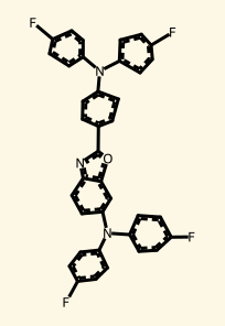 Fc1ccc(N(c2ccc(F)cc2)c2ccc(-c3nc4ccc(N(c5ccc(F)cc5)c5ccc(F)cc5)cc4o3)cc2)cc1